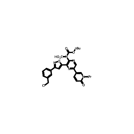 CCCCOC(=O)N(C(=O)O)c1ncc(-c2ccc(=O)n(C(C)C)c2)nc1-c1cc(-c2cccc(CCl)c2)no1